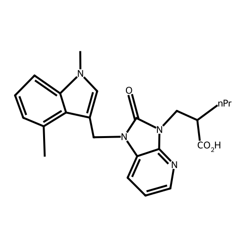 CCCC(Cn1c(=O)n(Cc2cn(C)c3cccc(C)c23)c2cccnc21)C(=O)O